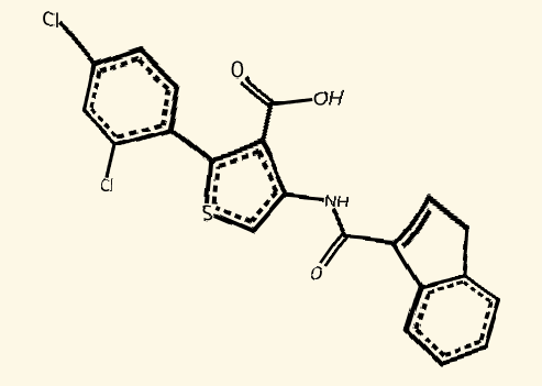 O=C(Nc1csc(-c2ccc(Cl)cc2Cl)c1C(=O)O)C1=CCc2ccccc21